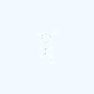 CCOC(=O)C(F)(F)c1nc(C)cc(Cl)n1